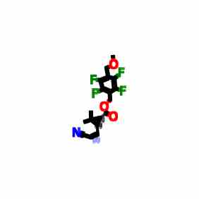 COCc1c(F)c(F)c(COC(=O)[C@@H]2[C@@H](/C=C\C#N)C2(C)C)c(F)c1F